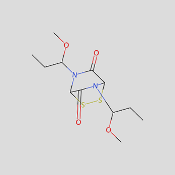 CCC(OC)N1C(=O)C2SSC1C(=O)N2C(CC)OC